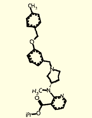 Cc1ccc(COc2cccc(CN3CC[C@H](N(C)c4ncccc4C(=O)OC(C)C)C3)c2)cc1